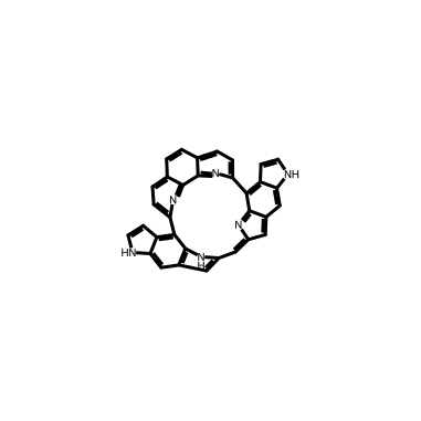 c1cc2c(cc3cc4cc5cc6cc7[nH]ccc7c(c7ccc8ccc9ccc(nc9c8n7)c2c3n4)c6[nH]5)[nH]1